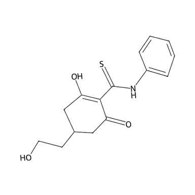 O=C1CC(CCO)CC(O)=C1C(=S)Nc1ccccc1